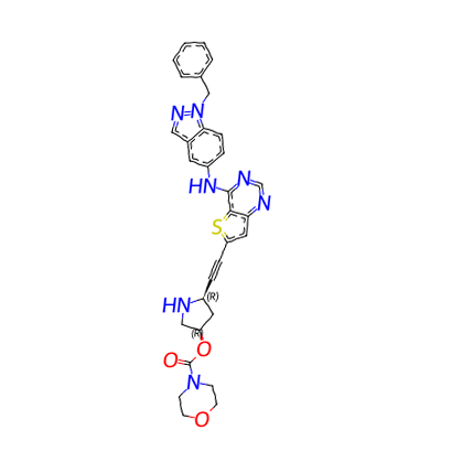 O=C(O[C@H]1CN[C@@H](C#Cc2cc3ncnc(Nc4ccc5c(cnn5Cc5ccccc5)c4)c3s2)C1)N1CCOCC1